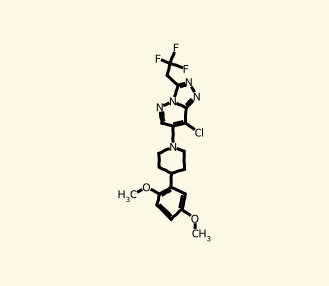 COc1ccc(OC)c(C2CCN(c3cnn4c(CC(F)(F)F)nnc4c3Cl)CC2)c1